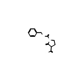 O=C(O)C1CCN(C(=O)OCc2ccccc2)C1=O